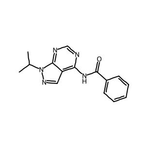 CC(C)n1ncc2c(NC(=O)c3ccccc3)ncnc21